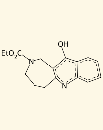 CCOC(=O)N1CCCc2nc3ccccc3c(O)c2C1